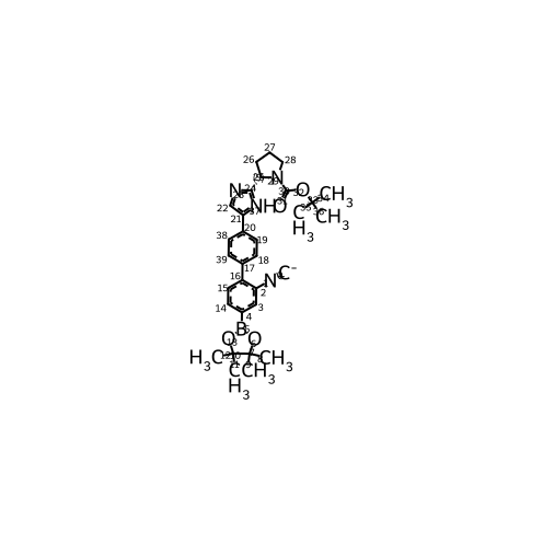 [C-]#[N+]c1cc(B2OC(C)(C)C(C)(C)O2)ccc1-c1ccc(-c2cnc([C@@H]3CCCN3C(=O)OC(C)(C)C)[nH]2)cc1